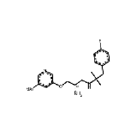 CC(C)(Cc1ccc(F)cc1)NC[C@H](N)COc1cncc(C(C)(C)C)c1